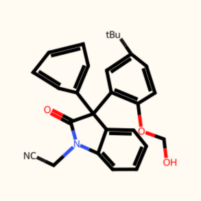 CC(C)(C)c1ccc(OCO)c(C2(c3ccccc3)C(=O)N(CC#N)c3ccccc32)c1